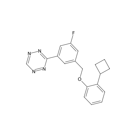 Fc1cc(COc2ccccc2C2CCC2)cc(-c2nncnn2)c1